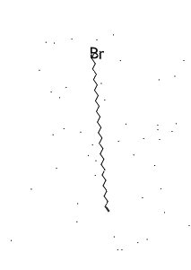 C=CCCCCCCCCCCCCCCCCCCCCCCCCCCCCBr